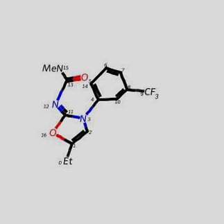 CCc1cn(-c2cccc(C(F)(F)F)c2)/c(=N\C(=O)NC)o1